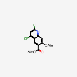 COC(=O)c1cc2c(Cl)cc(Cl)nc2cc1OC